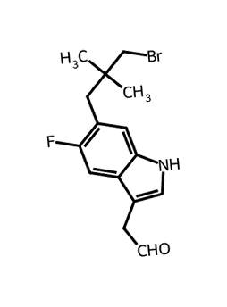 CC(C)(CBr)Cc1cc2[nH]cc(CC=O)c2cc1F